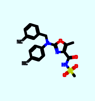 Cc1oc(N(Cc2cccc(C#N)c2)c2ccc(C#N)cc2)nc1C(=O)NS(C)(=O)=O